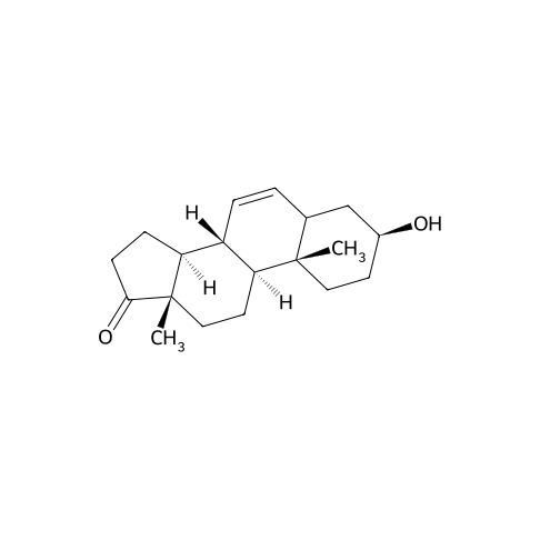 C[C@]12CC[C@H](O)CC1C=C[C@@H]1[C@@H]2CC[C@]2(C)C(=O)CC[C@@H]12